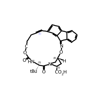 CC(C)(C)[C@@H]1NC(=O)OCCC/C=C/c2ccc3c(c2)C(=NO[C@@H]2C[C@@H](C(=O)O)N(C2)C1=O)c1ccccc1-3